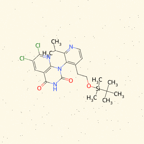 CC(C)c1nccc(CCO[Si](C)(C)C(C)(C)C)c1-n1c(=O)[nH]c(=O)c2cc(Cl)c(Cl)nc21